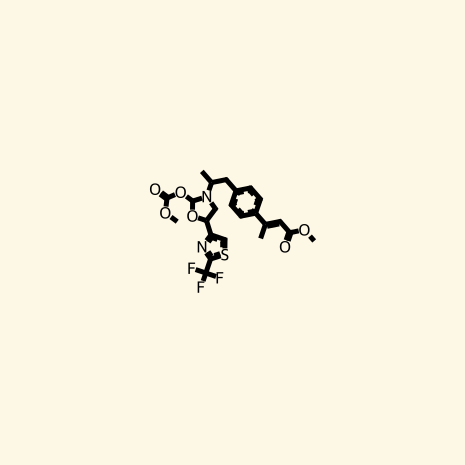 COC(=O)C=C(C)c1ccc(CC(C)N2CC(c3csc(C(F)(F)F)n3)OC2OC(=O)OC)cc1